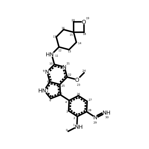 CNc1cc(-c2c[nH]c3nc(NC4CCC5(CC4)COC5)nc(OC)c23)ccc1N=N